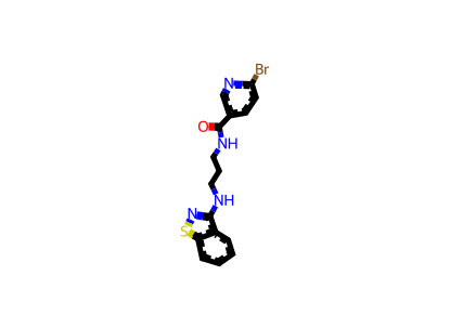 O=C(NCCCNc1nsc2ccccc12)c1ccc(Br)nc1